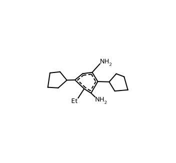 CCc1c(C2CCCC2)cc(N)c(C2CCCC2)c1N